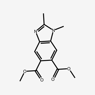 COC(=O)c1cc2nc(C)n(C)c2cc1C(=O)OC